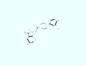 COc1cc(N2CCN(C(=O)Cn3nc(I)c4cc(Cl)cnc43)CC2)ccc1Cl